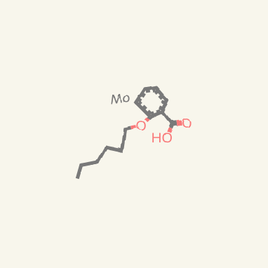 CCCCCCOc1ccccc1C(=O)O.[Mo]